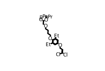 CCCOC(COCCCCOc1c(CC)cc(OCC=C(Cl)Cl)cc1CC)OCCC